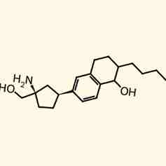 CCCCC1CCc2cc([C@H]3CC[C@](N)(CO)C3)ccc2C1O